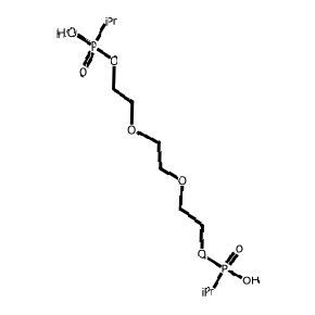 CC(C)P(=O)(O)OCCOCCOCCOP(=O)(O)C(C)C